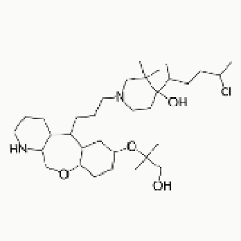 CC(Cl)CCC(C)C1(O)CCN(CCCC2C3CCCNC3COC3CCC(OC(C)(C)CO)CC32)CC1(C)C